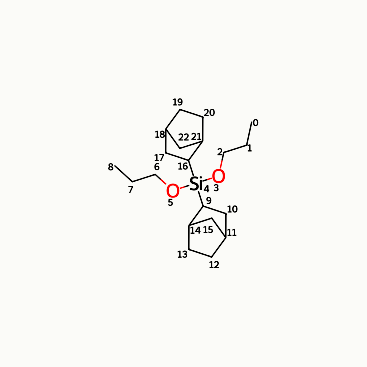 CCCO[Si](OCCC)(C1CC2CCC1C2)C1CC2CCC1C2